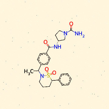 CC(c1ccc(C(=O)N[C@@H]2CCN(C(N)=O)C2)cc1)N1CCCC(c2ccccc2)S1(=O)=O